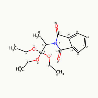 CCO[Si](OCC)(OCC)C(C)N1C(=O)c2ccccc2C1=O